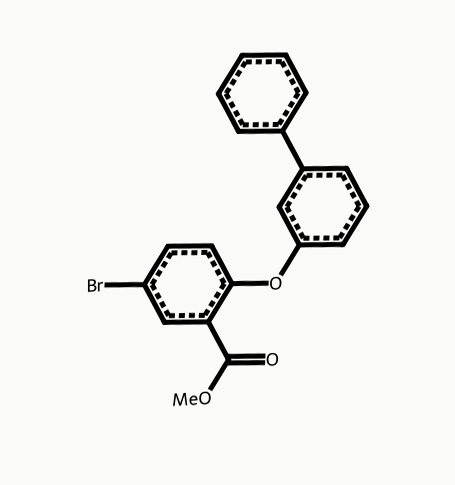 COC(=O)c1cc(Br)ccc1Oc1cccc(-c2ccccc2)c1